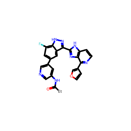 CCC(=O)Nc1cncc(-c2cc(F)c3[nH]nc(-c4nc5c(-c6ccoc6)nccc5[nH]4)c3c2)c1